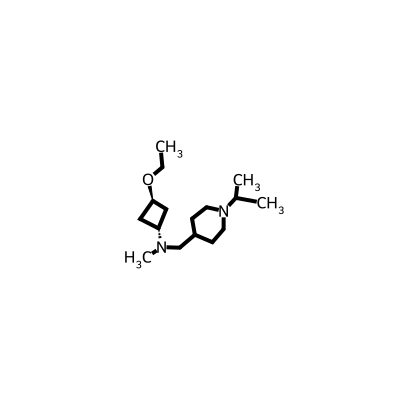 CCO[C@H]1C[C@H](N(C)CC2CCN(C(C)C)CC2)C1